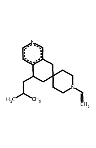 C=CN1CCC2(CC1)Cc1cnccc1C(CC(C)C)C2